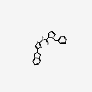 O=C(Nc1nc(C2Cc3ccccc3C2)cs1)c1cccn1Cc1ccncc1